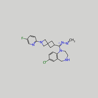 C=N/N=C(/C1CC2(C1)CN(c1ccc(F)cn1)C2)N1CCNCc2cc(Cl)ccc21